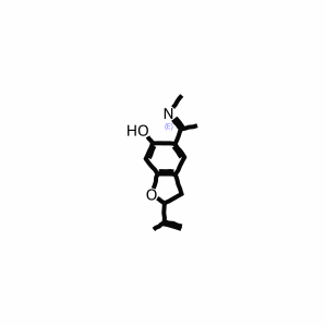 C=C(C)C1Cc2cc(/C(C)=N/C)c(O)cc2O1